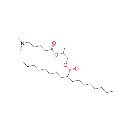 CCCCCCCCC(CCCCCCCC)C(=O)OCC(C)OC(=O)CCCCN(C)C